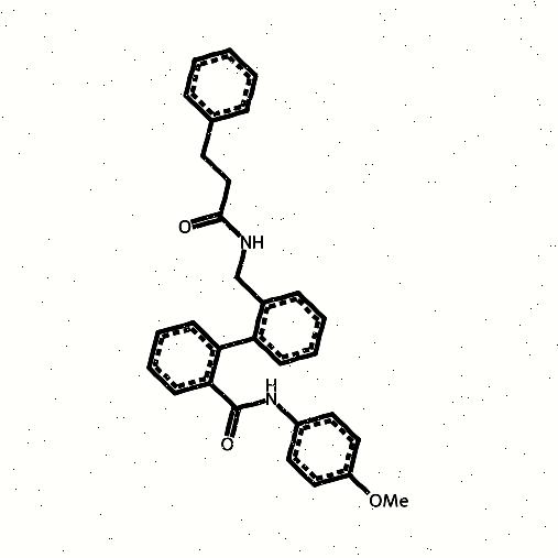 COc1ccc(NC(=O)c2ccccc2-c2ccccc2CNC(=O)CCc2ccccc2)cc1